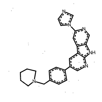 c1cn(-c2cc3c(cn2)[nH]c2ncc(-c4ccc(CN5CCCCC5)cc4)cc23)cn1